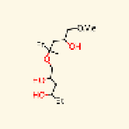 CCC(O)CC(O)COC(C)(CC)CC(O)COC